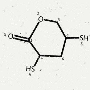 O=C1OCC(S)CC1S